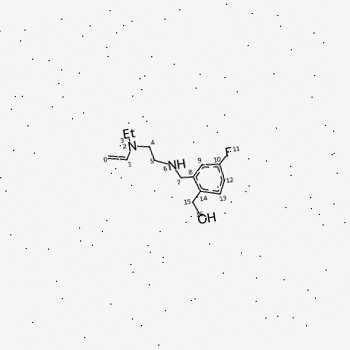 C=CN(CC)CCNCc1cc(F)ccc1CO